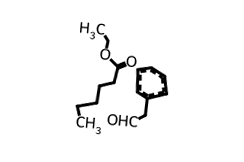 CCCCCC(=O)OCC.O=CCc1ccccc1